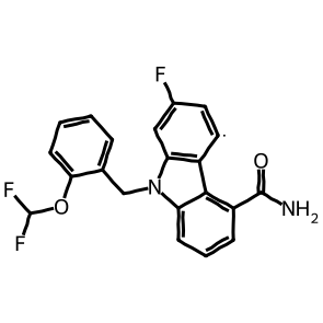 NC(=O)c1cccc2c1c1[c]cc(F)cc1n2Cc1ccccc1OC(F)F